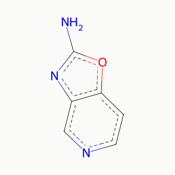 Nc1nc2cnccc2o1